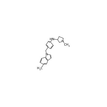 Cc1ccc2c(ccn2Cc2ccc(NC3CCN(C)C3)cc2)c1